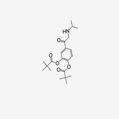 CC(C)NCC(=O)c1ccc(OC(=O)C(C)(C)C)c(OC(=O)C(C)(C)C)c1